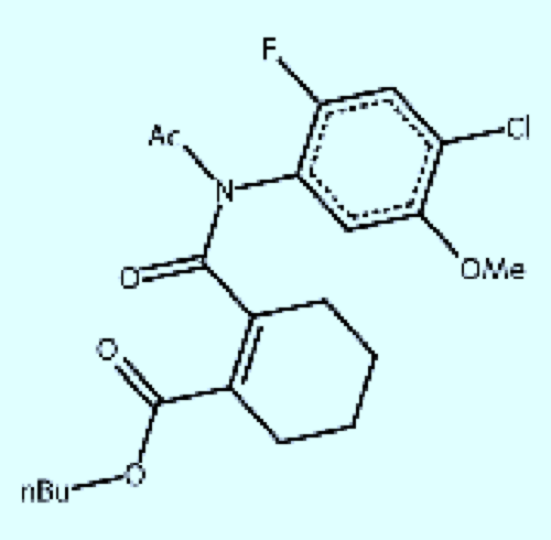 CCCCOC(=O)C1=C(C(=O)N(C(C)=O)c2cc(OC)c(Cl)cc2F)CCCC1